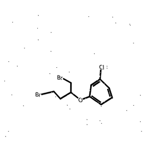 Clc1cccc(OC(CBr)CCBr)c1